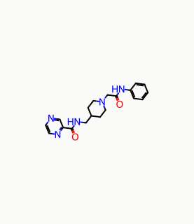 O=C(CN1CCC(CNC(=O)c2cnccn2)CC1)Nc1ccccc1